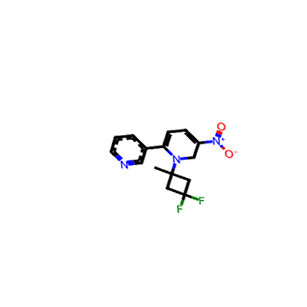 CC1(N2CC([N+](=O)[O-])=CC=C2c2cccnc2)CC(F)(F)C1